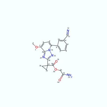 COc1ccc(-c2cccc(C#N)c2)n2nc(C3(C(=O)OCC(N)=O)CC3)nc12